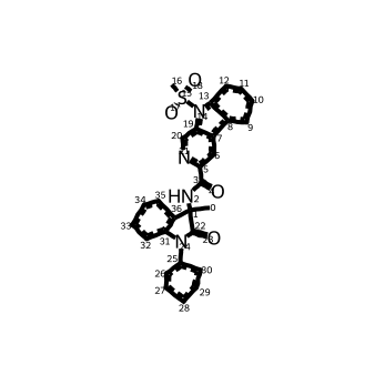 CC1(NC(=O)c2cc3c4ccccc4n(S(C)(=O)=O)c3cn2)C(=O)N(c2ccccc2)c2ccccc21